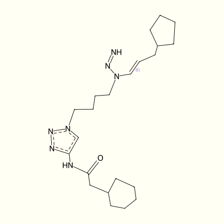 N=NN(/C=C/CC1CCCC1)CCCCn1cc(NC(=O)CC2CCCCC2)nn1